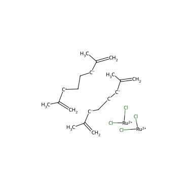 C=C(C)[CH-]CC[CH-]C(=C)C.C=C(C)[CH-]CC[CH-]C(=C)C.[Cl][Ru+2][Cl].[Cl][Ru+2][Cl]